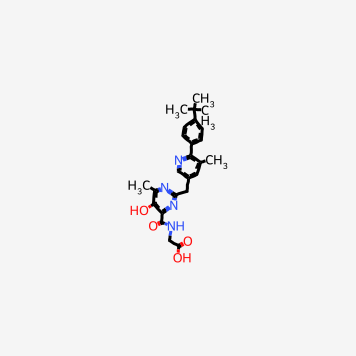 Cc1cc(Cc2nc(C)c(O)c(C(=O)NCC(=O)O)n2)cnc1-c1ccc(C(C)(C)C)cc1